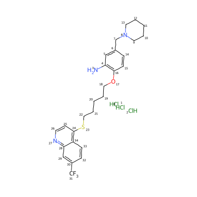 Cl.Cl.Cl.Nc1cc(CN2CCCCC2)ccc1OCCCCCSc1ccnc2cc(C(F)(F)F)ccc12